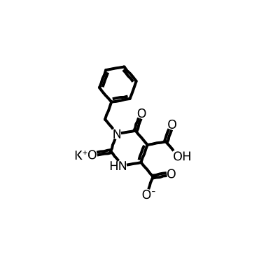 O=C([O-])c1[nH]c(=O)n(Cc2ccccc2)c(=O)c1C(=O)O.[K+]